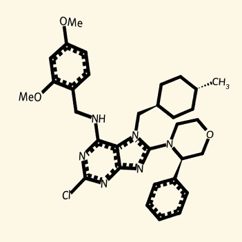 COc1ccc(CNc2nc(Cl)nc3nc(N4CCOC[C@H]4c4ccccc4)n(C[C@H]4CC[C@H](C)CC4)c23)c(OC)c1